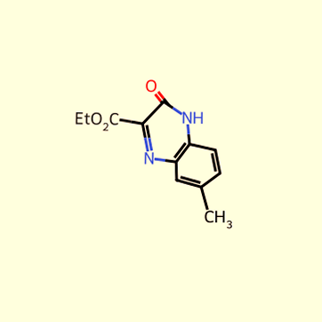 CCOC(=O)c1nc2cc(C)ccc2[nH]c1=O